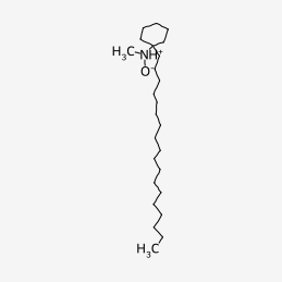 CCCCCCCCCCCCCCCCCCC1([NH+](C)[O-])CCCCC1